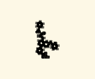 COC(=O)c1cccc(-c2ccc(CNC(=O)[C@@H]3C[C@H]3c3ccccc3)c3c2CCN(Cc2ccccn2)C3)c1